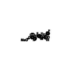 CCn1cc(C(=O)Nc2cc(F)c(Oc3ccnc4cc(OCCOC)c5c(c34)OCCO5)cc2C(C)C)c(=O)n(-c2ccc(F)cc2)c1=O